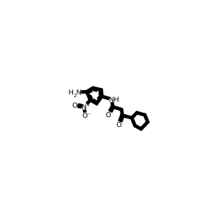 Nc1ccc(NC(=O)CC(=O)C2CCCCC2)cc1[N+](=O)[O-]